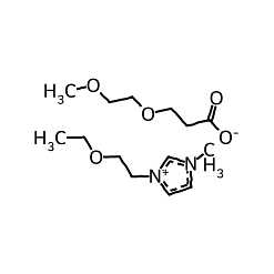 CCOCC[n+]1ccn(C)c1.COCCOCCC(=O)[O-]